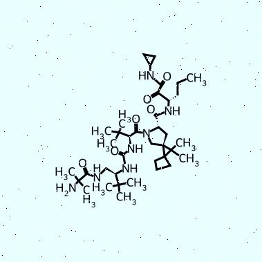 CCC[C@H](NC(=O)[C@@H]1C[C@@]2(CN1C(=O)[C@@H](NC(=O)N[C@H](CNC(=O)C(C)(C)N)C(C)(C)C)C(C)(C)C)C(C)(C)C21CCC1)C(=O)C(=O)NC1CC1